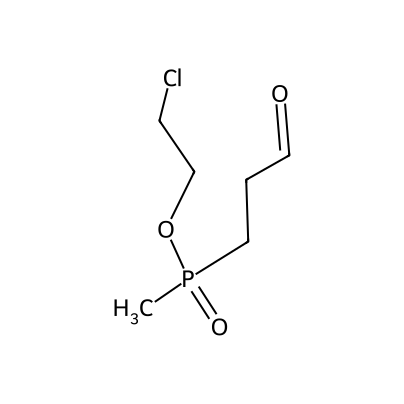 CP(=O)(CCC=O)OCCCl